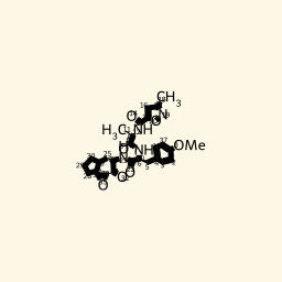 COc1ccc(C[C@H](NC(=O)[C@H](C)NC(=O)c2cc(C)no2)C(=O)N[C@@H](CC2CCCC2)C(=O)[C@H]2CO2)cc1